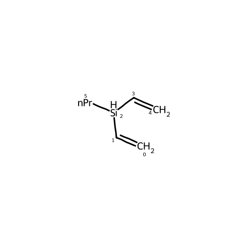 C=C[SiH](C=C)CCC